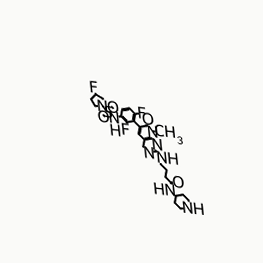 Cn1c(=O)c(-c2c(F)ccc(NS(=O)(=O)N3CC[C@@H](F)C3)c2F)cc2cnc(NCCCC(=O)NC3CCNCC3)nc21